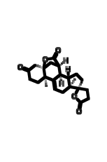 C[C@]12CC=C3[C@@H]([C@H]4C[C@]5(CC(=O)CC[C@]35C)OC4=O)[C@@H]1CC[C@@]21CCC(=O)O1